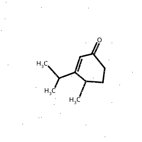 CC(C)C1=CC(=O)CCC1C